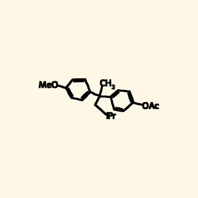 COc1ccc(C(C)(CC(C)C)c2ccc(OC(C)=O)cc2)cc1